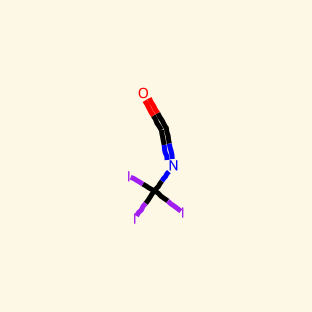 O=C=NC(I)(I)I